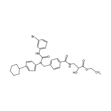 CCOC(=O)C(O)CNC(=O)c1ccc(CN(C(=O)Nc2cccc(Br)c2)c2ccc(C3CCCCC3)cc2)cc1